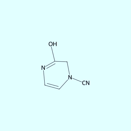 N#CN1C=CN=C(O)C1